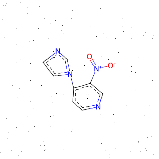 O=[N+]([O-])c1cnccc1-n1ccnc1